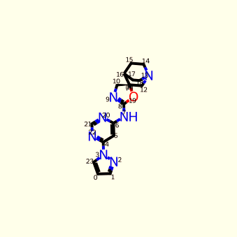 c1cnn(-c2cc(NC3=NC[C@@]4(CN5CCC4CC5)O3)ncn2)c1